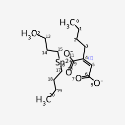 CCCC/C(=C/C(=O)[O-])C(=O)[O-].CCC[CH2][Sn+2][CH2]CCC